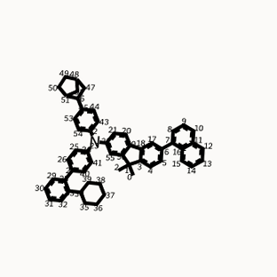 CC1(C)c2ccc(-c3cccc4ccccc34)cc2-c2ccc(N(c3ccc(-c4ccccc4C4CCCCC4)cc3)c3ccc(C4CC5CCC4C5)cc3)cc21